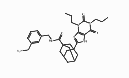 CCCn1c(=O)c2[nH]c(C34CC5CC(CC(C(=O)NCc6cccc(CN)c6)(C5)C3)C4)nc2n(CCC)c1=O